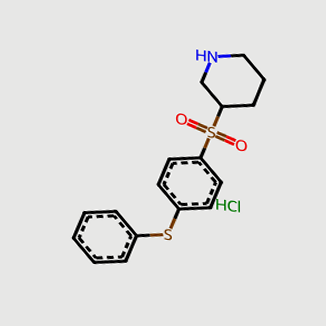 Cl.O=S(=O)(c1ccc(Sc2ccccc2)cc1)C1CCCNC1